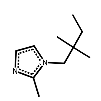 CCC(C)(C)Cn1ccnc1C